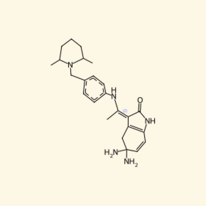 C/C(Nc1ccc(CN2C(C)CCCC2C)cc1)=C1/C(=O)NC2=C1CC(N)(N)C=C2